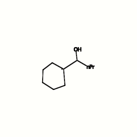 CCCC(O)[C]1CCCCC1